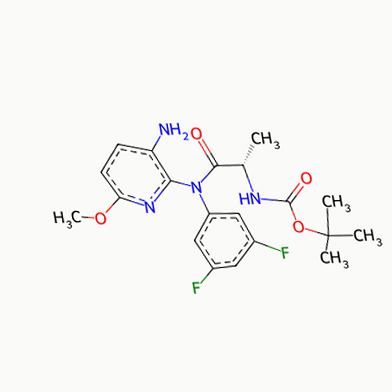 COc1ccc(N)c(N(C(=O)[C@H](C)NC(=O)OC(C)(C)C)c2cc(F)cc(F)c2)n1